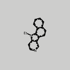 CCn1c2ccncc2c2ccc3ccccc3c21